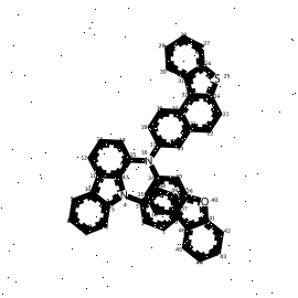 c1ccc(-n2c3ccccc3c3cccc(N(c4ccc5c(ccc6sc7ccccc7c65)c4)c4ccc5c(c4)oc4ccccc45)c32)cc1